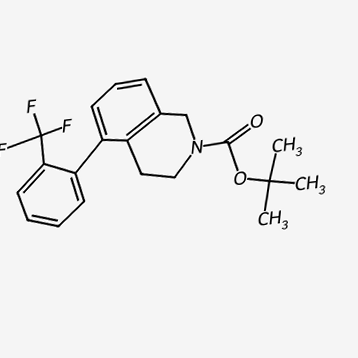 CC(C)(C)OC(=O)N1CCc2c(cccc2-c2ccccc2C(F)(F)F)C1